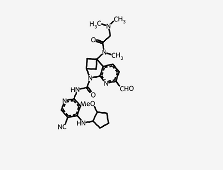 COC1CCCC1Nc1cc(NC(=O)N2c3nc(C=O)ccc3C3(N(C)C(=O)CN(C)C)CC2C3)ncc1C#N